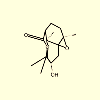 CC1(C)OC(=O)C2CC[C@@]3(C)OC34C[C@]1(O)CC[C@@]24C